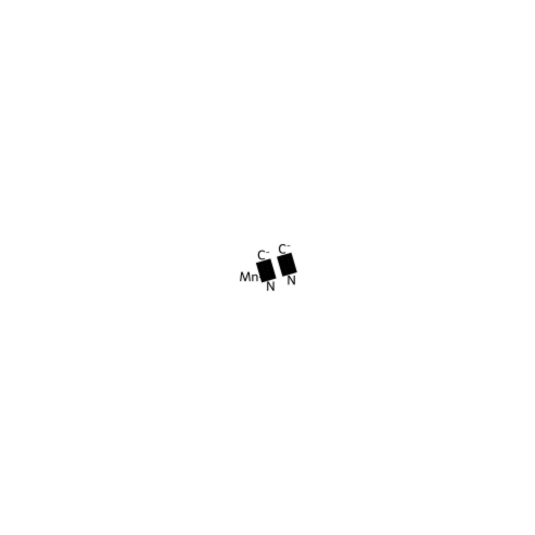 [C-]#N.[C-]#N.[Mn+2]